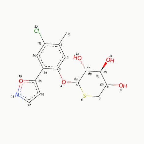 Cc1cc(O[C@H]2SC[C@@H](O)[C@H](O)[C@H]2O)c(-c2ccno2)cc1Cl